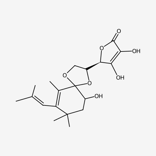 CC(C)=CC1=C(C)C2(OCC([C@H]3OC(=O)C(O)=C3O)O2)C(O)CC1(C)C